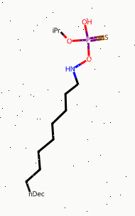 CCCCCCCCCCCCCCCCCCNOP(O)(=S)OC(C)C